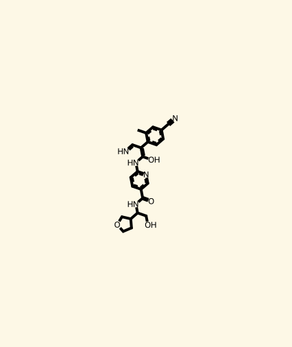 Cc1cc(C#N)ccc1/C(C=N)=C(\O)Nc1ccc(C(=O)NC(CO)C2CCOC2)cn1